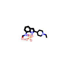 CCN1CCC(c2cc3cccc(NC=O)c3n2OP(=O)(O)O)CC1